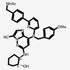 COc1ccc(CN(c2cccc(-c3ccc(CNC(C)=O)cc3)n2)c2cc(N[C@@H]3CCCC[C@H]3O)nn3c(C#N)cnc23)cc1